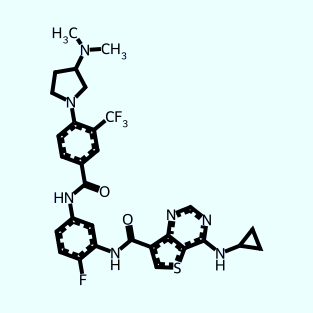 CN(C)C1CCN(c2ccc(C(=O)Nc3ccc(F)c(NC(=O)c4csc5c(NC6CC6)ncnc45)c3)cc2C(F)(F)F)C1